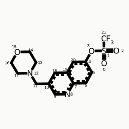 O=S(=O)(Oc1ccc2ncc(CN3CCOCC3)cc2c1)C(F)(F)F